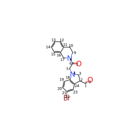 O=CC1CN(CC(=O)N2CCc3ccccc3C2)c2ccc(Br)cc21